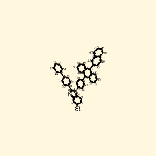 CCc1ccc2c(c1)nc(-c1ccc(-c3ccccc3)cc1)n2-c1ccc(-c2c3ccccc3c(-c3ccc4ccccc4c3)c3ccccc23)cc1